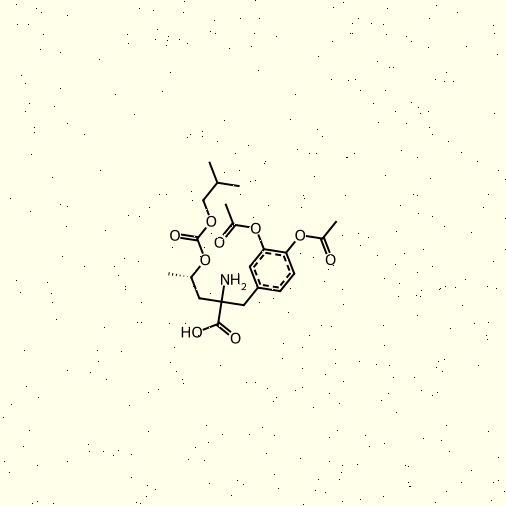 CC(=O)Oc1ccc(CC(N)(C[C@H](C)OC(=O)OCC(C)C)C(=O)O)cc1OC(C)=O